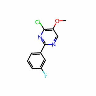 COc1cnc(-c2cccc(F)c2)nc1Cl